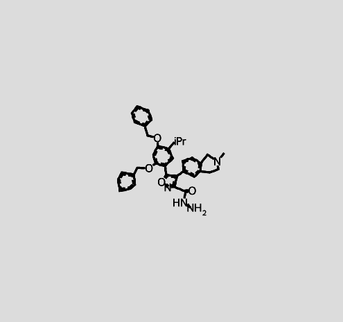 CC(C)c1cc(-c2onc(C(=O)NN)c2-c2ccc3c(c2)CCN(C)C3)c(OCc2ccccc2)cc1OCc1ccccc1